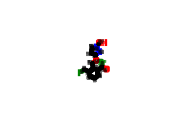 O=C(Br)c1cccc(CF)c1COc1ccn(O)n1